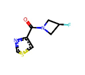 O=C(c1cscn1)N1CC(F)C1